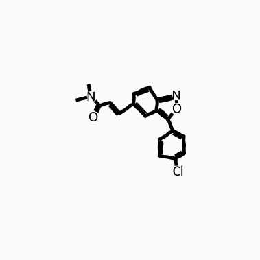 CN(C)C(=O)C=Cc1ccc2noc(-c3ccc(Cl)cc3)c2c1